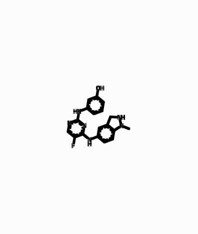 CN1NCc2cc(Nc3nc(Nc4cccc(O)c4)ncc3F)ccc21